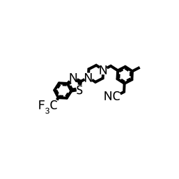 Cc1cc(CC#N)cc(CN2CCN(c3nc4ccc(C(F)(F)F)cc4s3)CC2)c1